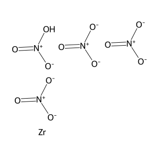 O=[N+]([O-])O.O=[N+]([O-])[O-].O=[N+]([O-])[O-].O=[N+]([O-])[O-].[Zr]